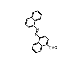 O=Cc1ccc(N=Nc2cccc3ccccc23)c2ccccc12